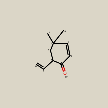 C=CC1CC(C)(C)C=CC1=O